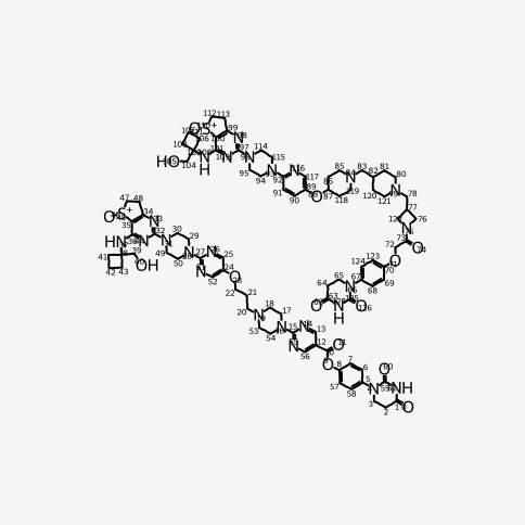 O=C1CCN(c2ccc(OC(=O)c3cnc(N4CCN(CCCOc5cnc(N6CCN(c7nc8c(c(NC9(CO)CCC9)n7)[S@+]([O-])CC8)CC6)nc5)CC4)nc3)cc2)C(=O)N1.O=C1CCN(c2ccc(OCC(=O)N3CC(CN4CCC(CN5CCC(Oc6ccc(N7CCN(c8nc9c(c(NC%10(CO)CCC%10)n8)[S@+]([O-])CC9)CC7)nc6)CC5)CC4)C3)cc2)C(=O)N1